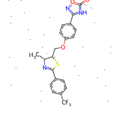 CC1N=C(c2ccc(C(F)(F)F)cc2)SC1COc1ccc(-c2noc(=O)[nH]2)cc1